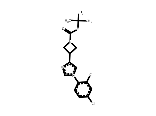 CC(C)(C)OC(=O)N1CC(c2cn(-c3ccc(Cl)cc3Cl)cn2)C1